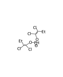 CC/C(Cl)=C(/Cl)O[PH](=O)O/C(Cl)=C(/Cl)CC